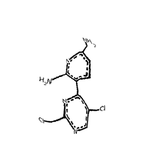 Nc1ccc(-c2nc(Cl)ncc2Cl)c(N)n1